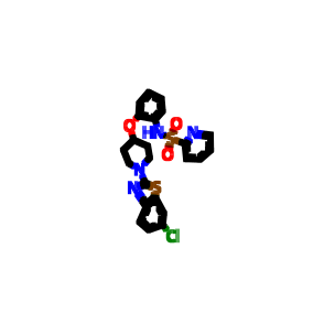 O=S(=O)(Nc1ccccc1OC1CCN(c2nc3ccc(Cl)cc3s2)CC1)c1ccccn1